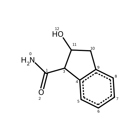 NC(=O)C1c2ccccc2CC1O